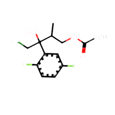 CC(COC(=O)C(C)(C)C)C(O)(CCl)c1cc(F)ccc1F